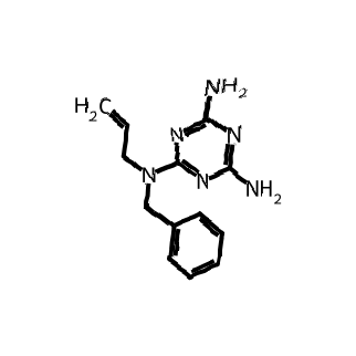 C=CCN(Cc1ccccc1)c1nc(N)nc(N)n1